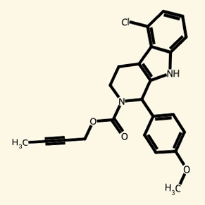 CC#CCOC(=O)N1CCc2c([nH]c3cccc(Cl)c23)C1c1ccc(OC)cc1